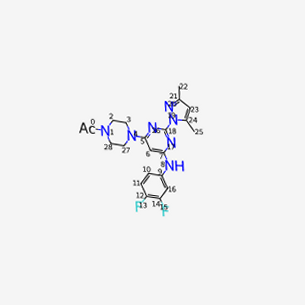 CC(=O)N1CCN(c2cc(Nc3ccc(F)c(F)c3)nc(-n3nc(C)cc3C)n2)CC1